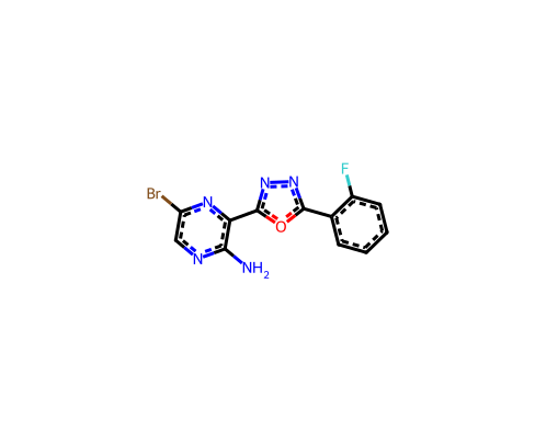 Nc1ncc(Br)nc1-c1nnc(-c2ccccc2F)o1